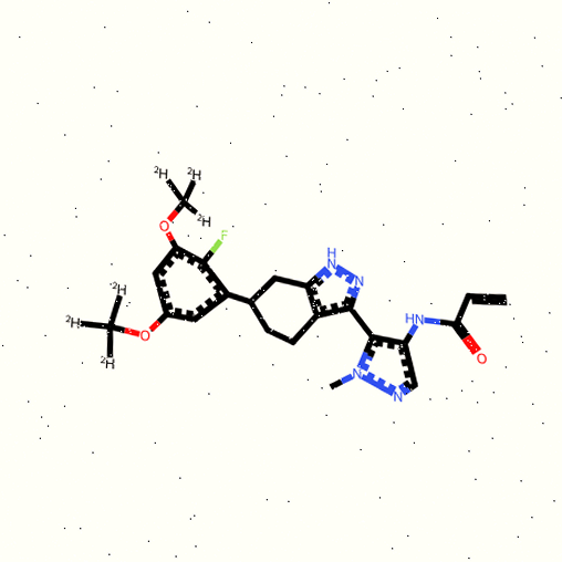 [2H]C([2H])([2H])Oc1cc(OC([2H])([2H])[2H])c(F)c(C2CCc3c(-c4c(NC(=O)C=C)cnn4C)n[nH]c3C2)c1